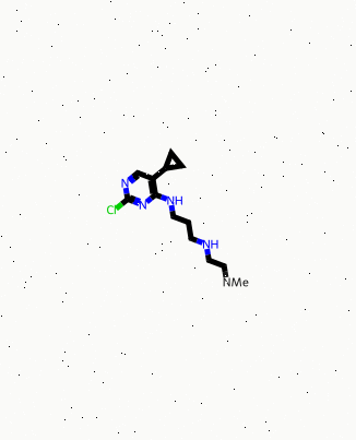 CNCCNCCCNc1nc(Cl)ncc1C1CC1